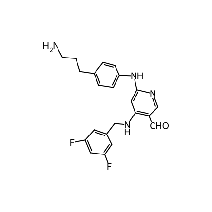 NCCCc1ccc(Nc2cc(NCc3cc(F)cc(F)c3)c(C=O)cn2)cc1